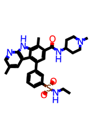 CCNS(=O)(=O)c1cccc(-c2cc(C(=O)NC3CCN(C)CC3)c(C)c3[nH]c4ncc(C)cc4c23)c1